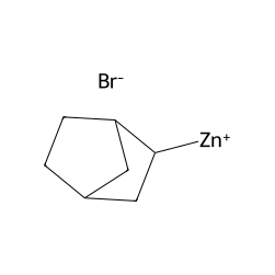 [Br-].[Zn+][CH]1CC2CCC1C2